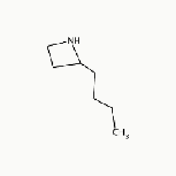 CCCCC1CCN1